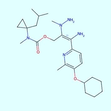 Cc1nc(/C(N)=C(\COC(=O)N(C)C2(CC(C)C)CC2)N(C)N)ccc1OC1CCCCC1